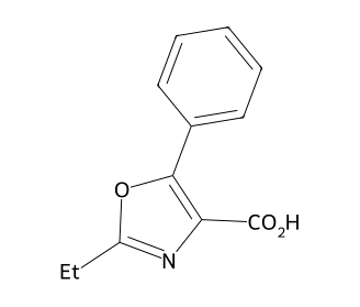 CCc1nc(C(=O)O)c(-c2ccccc2)o1